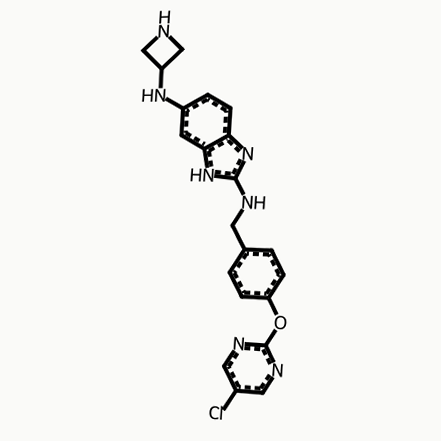 Clc1cnc(Oc2ccc(CNc3nc4ccc(NC5CNC5)cc4[nH]3)cc2)nc1